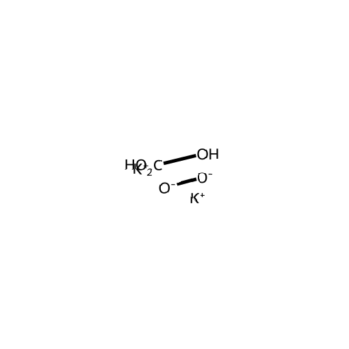 O=C(O)O.[K+].[K+].[O-][O-]